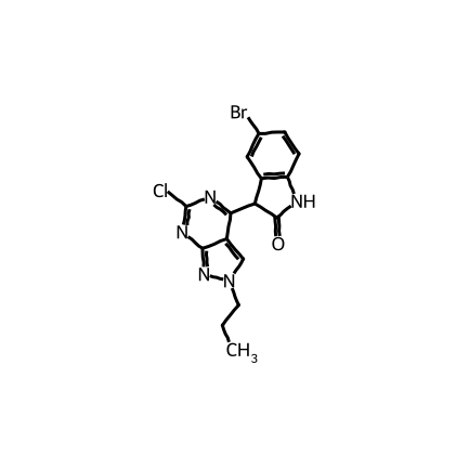 CCCn1cc2c(C3C(=O)Nc4ccc(Br)cc43)nc(Cl)nc2n1